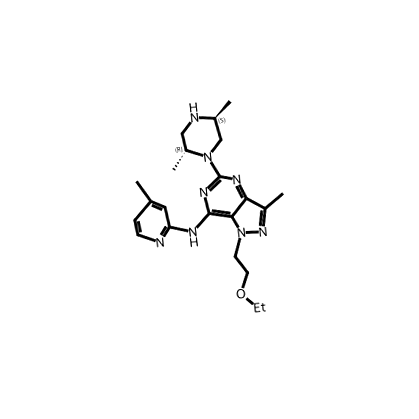 CCOCCn1nc(C)c2nc(N3C[C@H](C)NC[C@H]3C)nc(Nc3cc(C)ccn3)c21